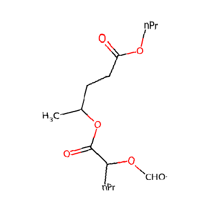 CCCOC(=O)CCC(C)OC(=O)C(CCC)O[C]=O